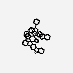 C1=C(c2ccc3ccccc3c2)N=C(c2cccc(-c3cccc4c3C3(c5cc6c(cc5-4)oc4ccccc46)c4ccccc4C4(c5ccccc5-c5ccccc54)c4ccccc43)c2)NC1c1ccccc1